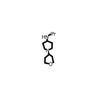 CC(C)NC1CCN(C2CCOCC2)CC1